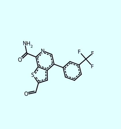 NC(=O)c1ncc(-c2cccc(C(F)(F)F)c2)c2cc(C=O)sc12